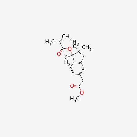 C=C(C)C(=O)OC1(C)c2ccc(CC(=O)OC)cc2CC1(C)C